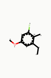 CCc1cc(OC)cc(F)c1C